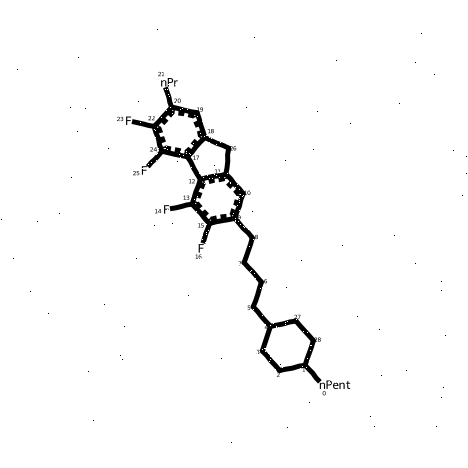 CCCCCC1CCC(CCCCc2cc3c(c(F)c2F)-c2c(cc(CCC)c(F)c2F)C3)CC1